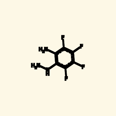 NNc1c(N)c(F)c(F)c(F)c1F